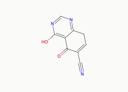 N#CC1=CCc2ncnc(O)c2C1=O